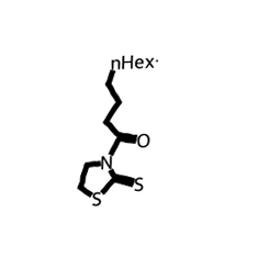 CCCCC[CH]CCCC(=O)N1CCSC1=S